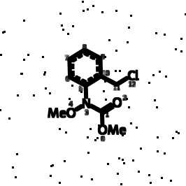 COC(=O)N(OC)c1ccccc1CCl